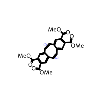 COC(=O)c1cc2c(cc1C(=O)OC)/C=C\c1cc(C(=O)OC)c(C(=O)OC)cc1/C=C\2